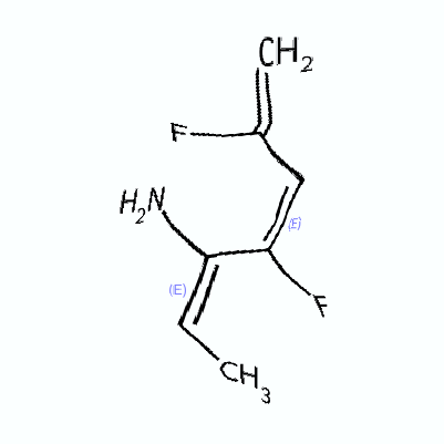 C=C(F)/C=C(F)\C(N)=C/C